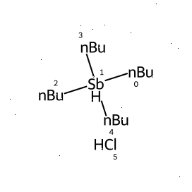 CCC[CH2][SbH]([CH2]CCC)([CH2]CCC)[CH2]CCC.Cl